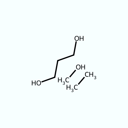 CC.CO.OCCCO